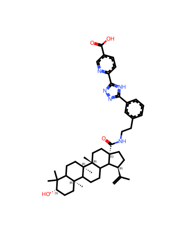 C=C(C)[C@@H]1CC[C@]2(C(=O)NCCc3cccc(-c4nnc(-c5ccc(C(=O)O)cn5)[nH]4)c3)CC[C@]3(C)C(CCC4[C@@]5(C)CC[C@H](O)C(C)(C)C5CC[C@]43C)C12